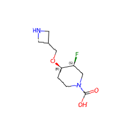 O=C(O)N1CC[C@@H](OCC2CNC2)[C@@H](F)C1